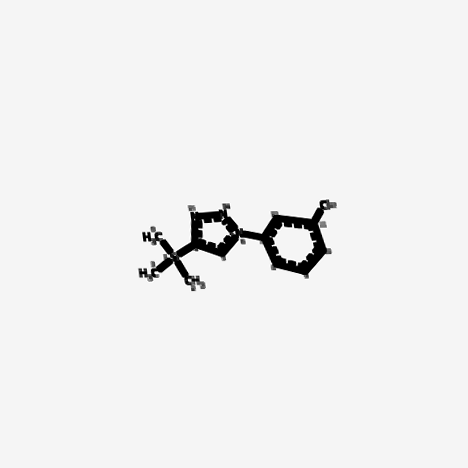 C[Si](C)(C)c1cn(-c2cccc(Cl)c2)nn1